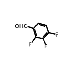 O=[C]c1ccc(F)c(F)c1F